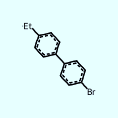 C[CH]c1ccc(-c2ccc(Br)cc2)cc1